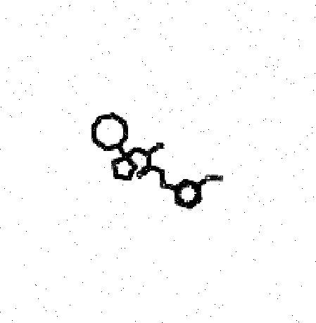 CCN(CC1(C2CCCCCCC2)CCCS1)C(=O)COc1cccc(OC)c1